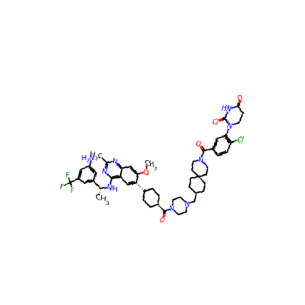 COc1cc2nc(C)nc(N[C@H](C)c3cc(N)cc(C(F)(F)F)c3)c2cc1[C@H]1CC[C@H](C(=O)N2CCN(CC3CCC4(CC3)CCN(C(=O)c3ccc(Cl)c(N5CCC(=O)NC5=O)c3)CC4)CC2)CC1